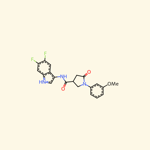 COc1cccc(N2CC(C(=O)Nc3c[nH]c4cc(F)c(F)cc34)CC2=O)c1